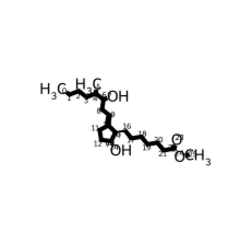 CCCCC(C)C(O)CC=C1CC[C@@H](O)[C@@H]1CCCCCCC(=O)OC